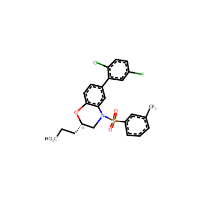 O=C(O)CC[C@H]1CN(S(=O)(=O)c2cccc(C(F)(F)F)c2)c2cc(-c3cc(F)ccc3Cl)ccc2O1